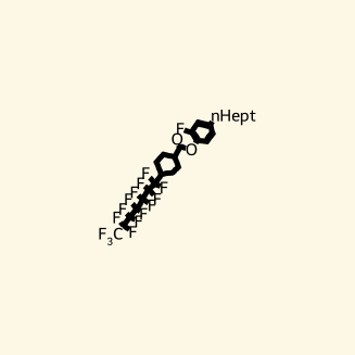 CCCCCCCc1ccc(OC(=O)C2CCC(C(F)(F)C(F)(F)C(F)(F)C(F)(F)C(F)(F)C(F)(F)C(F)(F)F)CC2)c(F)c1